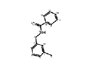 Cc1cccc(CNC(=O)c2ccccc2)c1